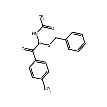 O=C(c1ccc([N+](=O)[O-])cc1)N(NC(=O)C(F)(F)F)SCc1ccccc1